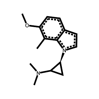 COc1ccc2ccn([C@H]3CC3N(C)C)c2c1C